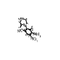 CC1CNCCN1c1c(C#N)cc([N+](=O)[O-])c(N)c1F